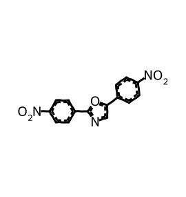 O=[N+]([O-])c1ccc(-c2cnc(-c3ccc([N+](=O)[O-])cc3)o2)cc1